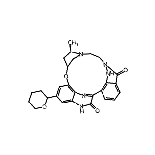 C[C@@H]1CC2CN1CCn1[nH]c3c(cccc3c1=O)-c1nc3c(cc(C4CCCCO4)cc3[nH]c1=O)O2